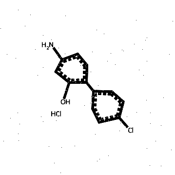 Cl.Nc1ccc(-c2ccc(Cl)cc2)c(O)c1